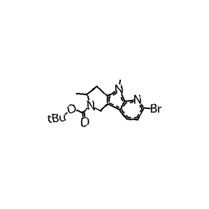 CC1Cc2c(c3ccc(Br)nc3n2C)CN1C(=O)OC(C)(C)C